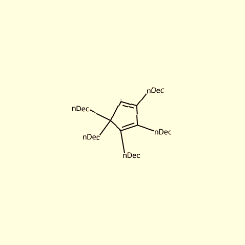 CCCCCCCCCCC1=[C]C(CCCCCCCCCC)(CCCCCCCCCC)C(CCCCCCCCCC)=C1CCCCCCCCCC